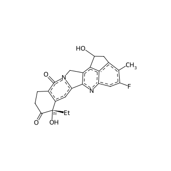 CC[C@@]1(O)C(=O)CCc2c1cc1n(c2=O)Cc2c-1nc1cc(F)c(C)c3c1c2C(O)C3